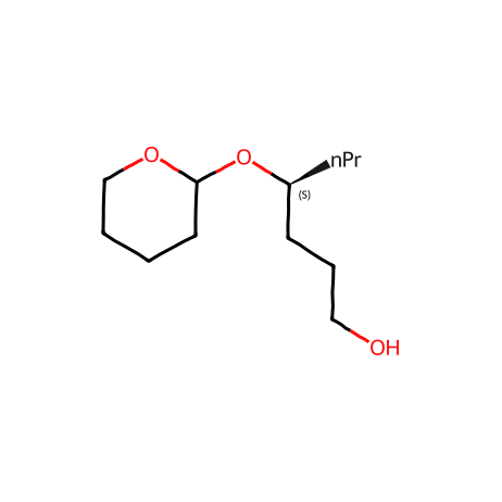 CCC[C@@H](CCCO)OC1CCCCO1